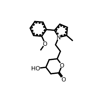 COc1ccccc1-c1ccc(C)n1CCC1CC(O)CC(=O)O1